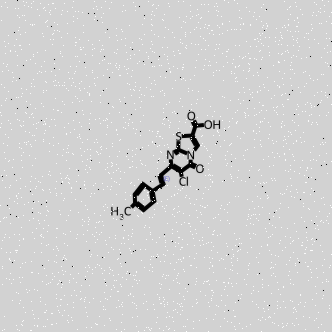 Cc1ccc(/C=C/c2nc3sc(C(=O)O)cn3c(=O)c2Cl)cc1